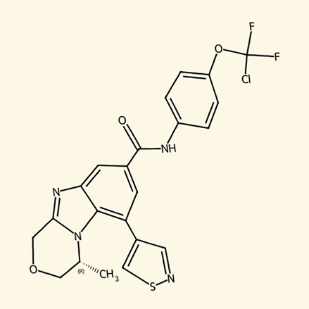 C[C@@H]1COCc2nc3cc(C(=O)Nc4ccc(OC(F)(F)Cl)cc4)cc(-c4cnsc4)c3n21